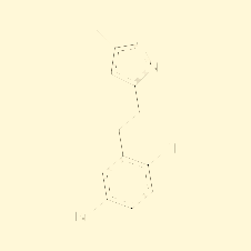 Cc1cc(CCc2cc(Br)ccc2Cl)no1